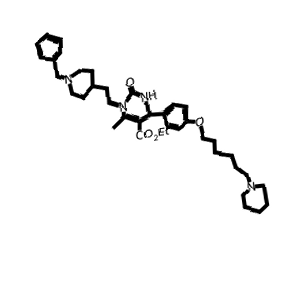 CCOC(=O)C1=C(C)N(CCC2CCN(Cc3ccccc3)CC2)C(=O)NC1c1ccc(OCCCCCCN2CCCCC2)cc1